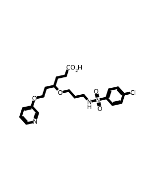 O=C(O)CCC(CCOc1cccnc1)OCCCNS(=O)(=O)c1ccc(Cl)cc1